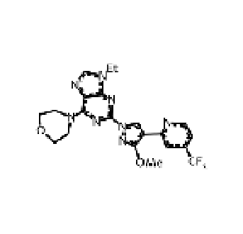 CCn1cnc2c(N3CCOCC3)nc(-n3cc(-c4cc(C(F)(F)F)ccn4)c(OC)n3)nc21